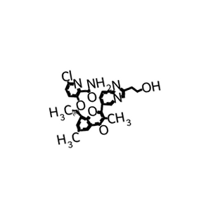 Cc1cc([C@@H](C)Oc2ccc(Cl)nc2C(N)=O)c2oc(-c3ccc4nc(CCO)cn4c3)c(C)c(=O)c2c1